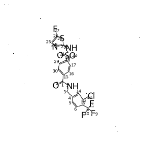 O=C(NCc1ccc(C(F)(F)F)c(Cl)c1)c1ccc(S(=O)(=O)Nc2ncc(F)s2)cc1